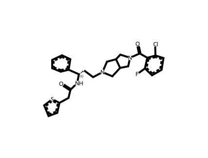 O=C(Cc1cccs1)N[C@@H](CCN1CC2CN(C(=O)c3c(F)cccc3Cl)CC2C1)c1ccccc1